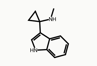 CNC1(c2c[nH]c3ccccc23)CC1